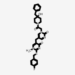 Cn1cc(Cc2cnc(=O)n(CC(=O)N3CCC(O)(Cc4ccccc4)CC3)c2)c(=O)nc1SCc1ccc(F)cc1